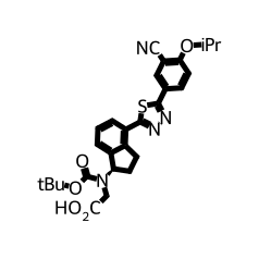 CC(C)Oc1ccc(-c2nnc(-c3cccc4c3CC[C@H]4N(CC(=O)O)C(=O)OC(C)(C)C)s2)cc1C#N